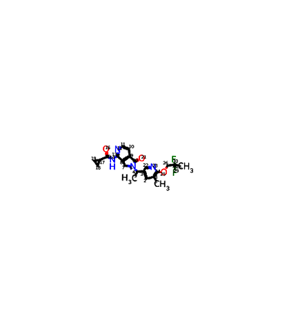 Cc1cc(C(C)N2Cc3c(ccnc3NC(=O)C3CC3)C2=O)cnc1OCC(C)(F)F